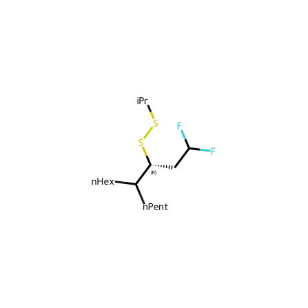 CCCCCCC(CCCCC)[C@@H](CC(F)F)SSC(C)C